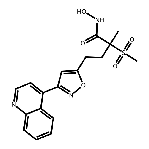 CC(CCc1cc(-c2ccnc3ccccc23)no1)(C(=O)NO)S(C)(=O)=O